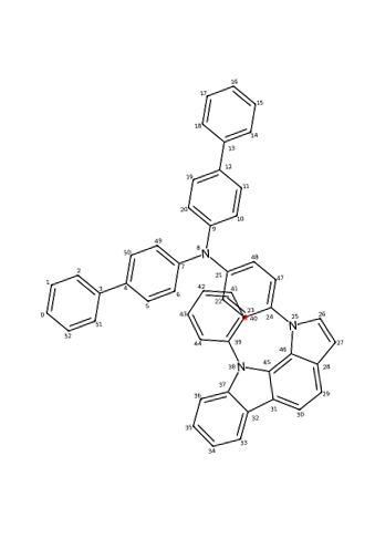 c1ccc(-c2ccc(N(c3ccc(-c4ccccc4)cc3)c3ccc(-n4ccc5ccc6c7ccccc7n(-c7ccccc7)c6c54)cc3)cc2)cc1